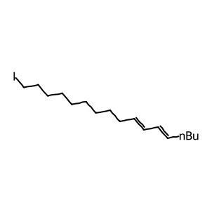 CCCC/C=C/C=C/CCCCCCCCCI